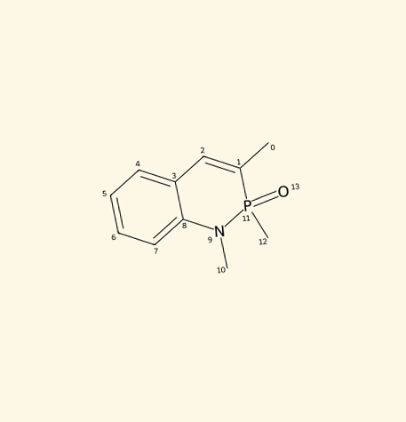 CC1=Cc2ccccc2N(C)P1(C)=O